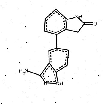 Nc1n[nH]c2ccc(-c3cccc4c3CC(=O)N4)cc12